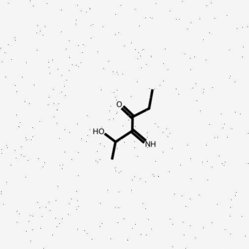 CCC(=O)C(=N)[C](C)O